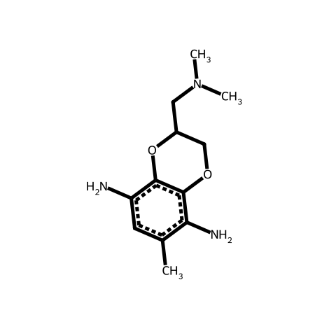 Cc1cc(N)c2c(c1N)OCC(CN(C)C)O2